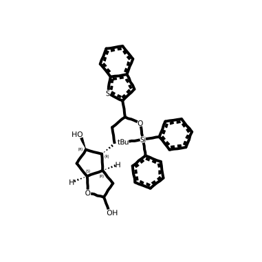 CC(C)(C)[Si](OC(CC[C@@H]1[C@H]2CC(O)O[C@H]2C[C@H]1O)c1cc2ccccc2s1)(c1ccccc1)c1ccccc1